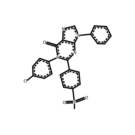 CS(=O)(=O)c1ccc(-c2nc3c(ncn3-c3ccccc3)c(=O)n2-c2ccc(Cl)cc2)cc1